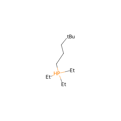 CC[PH](CC)(CC)CCCC(C)(C)C